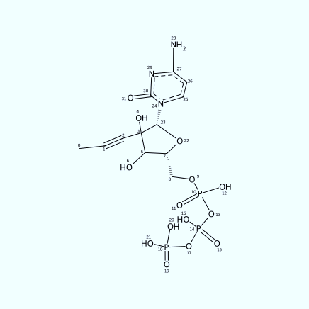 CC#CC1(O)C(O)[C@@H](COP(=O)(O)OP(=O)(O)OP(=O)(O)O)O[C@H]1n1ccc(N)nc1=O